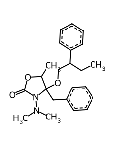 CCC(COC1(Cc2ccccc2)C(C)OC(=O)N1N(C)C)c1ccccc1